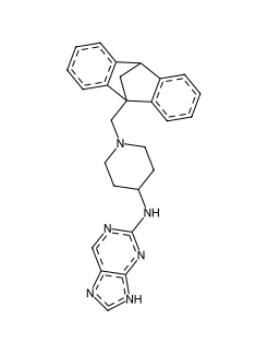 c1ccc2c(c1)C1CC2(CN2CCC(Nc3ncc4nc[nH]c4n3)CC2)c2ccccc21